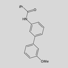 COc1cccc(-c2cccc(NC(=O)C(C)C)c2)c1